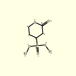 CCOP(=O)(OCC)C1CCOC(=O)C1